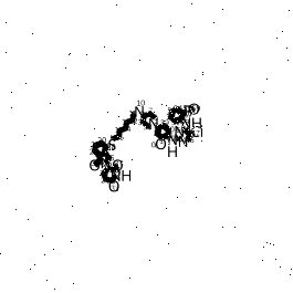 COc1cc(N2CCC(N(C)CCCCCCCSc3cccc4c3CN(C3CCC(=O)NC3=O)C4=O)CC2)ccc1Nc1ncc(Cl)c(Nc2ccccc2P(C)(C)=O)n1